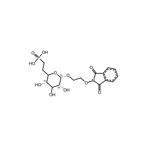 O=C1c2ccccc2C(=O)N1OCCO[C@H]1OC(CCP(=O)(O)O)[C@@H](O)C(O)[C@H]1O